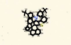 CC(C)(C)c1ccc(N(c2ccc(C(C)(C)C)cc2)c2cc3c(c4sc5ccccc5c24)-c2cccc4cccc(c24)C32c3ccccc3-c3ccccc32)cc1